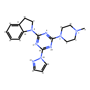 CN1CCN(c2nc(N3CCc4ccccc43)nc(-n3cccn3)n2)CC1